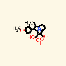 CCc1c(-c2ccc(OC)cc2)c2c(C(=O)O)c(C(=O)O)c3cccc1n32